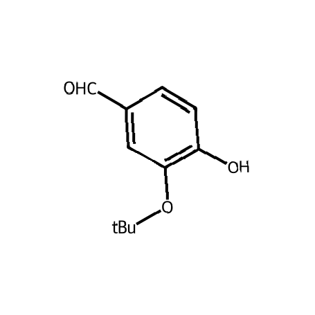 CC(C)(C)Oc1cc(C=O)ccc1O